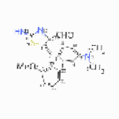 CN(C)c1ccc(C=C2SC(=N)N=C2C=O)cc1.COc1ccccc1